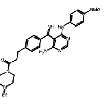 CCN1CCN(C(=O)CCc2ccc(C(=N)c3c(N)ncnc3Nc3ccc(NC)cc3)cc2)CC1